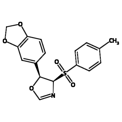 Cc1ccc(S(=O)(=O)[C@H]2N=CO[C@H]2c2ccc3c(c2)OCO3)cc1